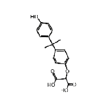 CC(C)(c1ccc(O)cc1)c1ccc(OC(C(=O)O)C(=O)O)cc1